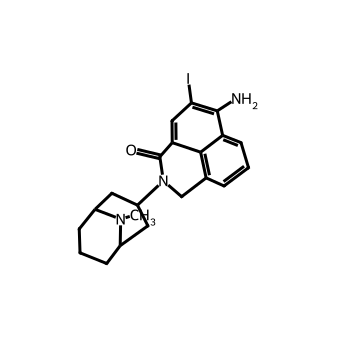 CN1C2CCCC1CC(N1Cc3cccc4c(N)c(I)cc(c34)C1=O)C2